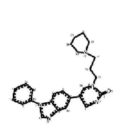 O=c1ncc(-c2ccc3c(c2)ncn3-c2ccccc2)cn1CCCN1CCCCC1